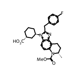 COC(=O)N1c2ccc3c(nc(Cc4ccc(F)cc4)n3[C@@H]3CCC[C@@H](C(=O)O)C3)c2CC[C@@H]1C